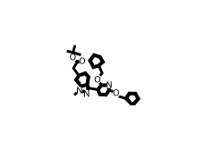 Cn1nc(-c2ccc(OCc3ccccc3)nc2OCc2ccccc2)c2ccc(CC(=O)OC(C)(C)C)cc21